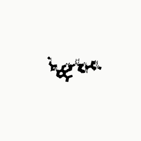 CSCC1CN(c2ccc(C(C)C)c3cc(Nc4ccnc(-c5cnn(C)c5)n4)ncc23)C1